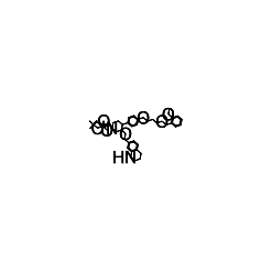 COc1ccccc1COCCCOc1ccc(C2CCN(OC(=O)OC(C)(C)C)CC2OCc2ccc3c(c2)NCCC3)cc1